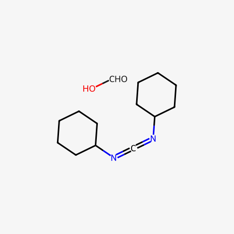 C(=NC1CCCCC1)=NC1CCCCC1.O=CO